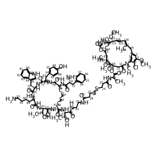 COc1cc2cc(c1Cl)N(C)C(=O)C[C@H](OC(=O)C(C)NC(=O)CCSSCCC(=O)NCCNC(=O)[C@@H](NC(=O)[C@@H]1CSSC[C@H](NC(=O)[C@H](N)Cc3ccccc3)C(=O)NC(Cc3ccc(O)cc3)C(=O)N[C@H](Cc3c[nH]c4ccccc34)C(=O)NC(CCCCN)C(=O)NC([C@@H](C)O)C(=O)N1)[C@@H](C)O)[C@]1(C)O[C@H]1[C@H](C)C1CC(O)(NC(=O)O1)[C@H](OC)/C=C/C=C(\C)C2